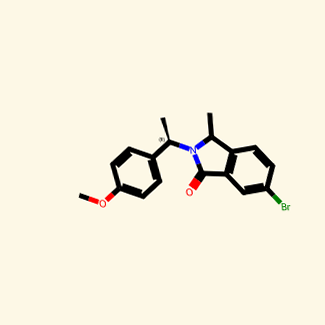 COc1ccc([C@@H](C)N2C(=O)c3cc(Br)ccc3C2C)cc1